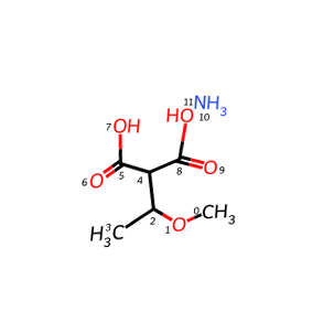 COC(C)C(C(=O)O)C(=O)O.N